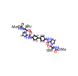 COC(=O)N[C@H](C(=O)N1CCC[C@H]1C(=O)Nc1ccc(-c2ccc(NC(=O)[C@@H]3CCCN3C(=O)[C@@H](NC(=O)OC)C(C)(C)C)cc2)cc1)C(C)(C)C